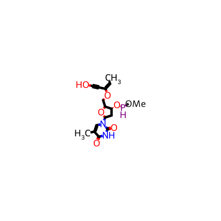 CC=C(C#CO)OCC1OC(n2cc(C)c(=O)[nH]c2=O)C[C@H]1OPOC